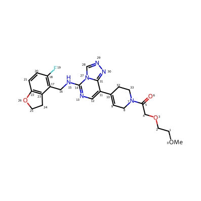 COCCOCC(=O)N1CC=C(c2cnc(NCc3c(F)ccc4c3CCO4)n3cnnc23)CC1